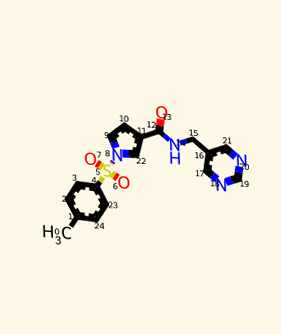 Cc1ccc(S(=O)(=O)n2ccc(C(=O)NCc3cncnc3)c2)cc1